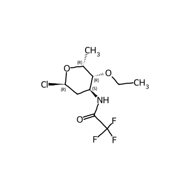 CCO[C@@H]1[C@@H](NC(=O)C(F)(F)F)C[C@@H](Cl)O[C@@H]1C